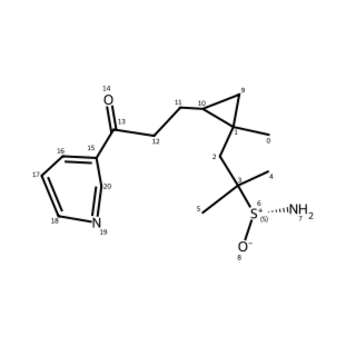 CC1(CC(C)(C)[S@+](N)[O-])CC1CCC(=O)c1cccnc1